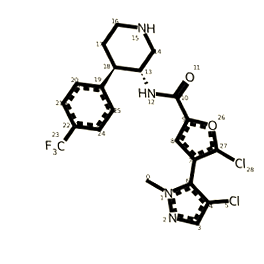 Cn1ncc(Cl)c1-c1cc(C(=O)N[C@H]2CNCC[C@@H]2c2ccc(C(F)(F)F)cc2)oc1Cl